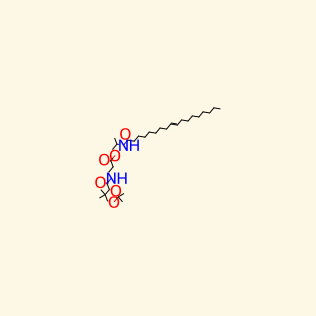 CCCCCCCCC=CCCCCCCCC(=O)NC(C)COC(=O)CCNC(=O)C1OC(C)(C)OCC1(C)C